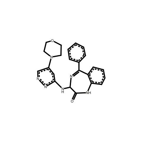 O=C1Nc2ccccc2C(c2ccccc2)=NC1Nc1cc(N2CCOCC2)cnn1